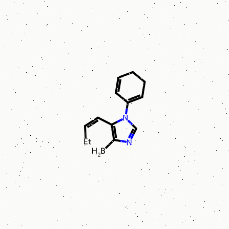 Bc1ncn(C2=CCCC=C2)c1/C=C\CC